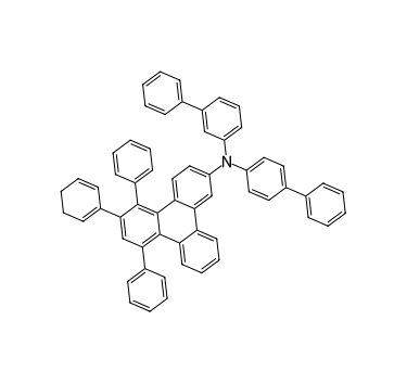 C1=CC(c2cc(-c3ccccc3)c3c4ccccc4c4cc(N(c5ccc(-c6ccccc6)cc5)c5cccc(-c6ccccc6)c5)ccc4c3c2-c2ccccc2)=CCC1